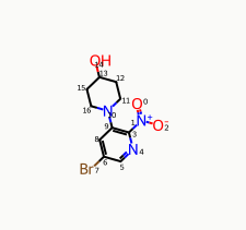 O=[N+]([O-])c1ncc(Br)cc1N1CCC(O)CC1